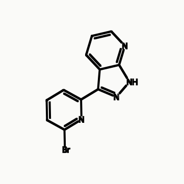 Brc1cccc(-c2n[nH]c3ncccc23)n1